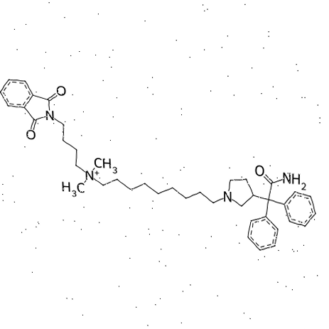 C[N+](C)(CCCCCCCCCN1CCC(C(C(N)=O)(c2ccccc2)c2ccccc2)C1)CCCCN1C(=O)c2ccccc2C1=O